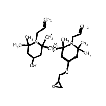 C=CCN1C(C)(C)CC(O)CC1(C)C.C=CCN1C(C)(C)CC(OCC2CO2)CC1(C)C